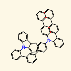 c1ccc(-c2ccc(-c3ccccc3N(c3ccc(-c4ccccc4)cc3)c3ccc(-c4cccc(-c5ccccc5-n5c6ccccc6c6ccccc65)c4)cc3)cc2)cc1